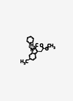 COC(=O)Cc1c(C)n(Cc2ccccc2)c2cc(C)ccc12